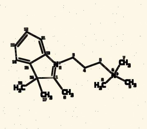 CC1=[N+](CCC[N+](C)(C)C)c2ccccc2C1(C)C